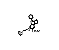 COc1cc2c3c(c(C4CCCCC4)nc2cc1OCCCN1CCCC1)CCC3